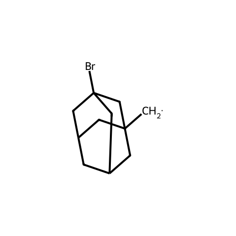 [CH2]C12CC3CC(C1)CC(Br)(C3)C2